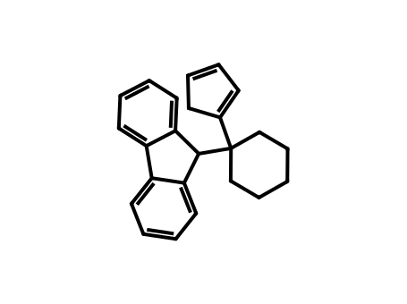 C1=CCC(C2(C3c4ccccc4-c4ccccc43)CCCCC2)=C1